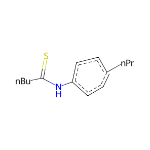 CCCCC(=S)Nc1ccc(CCC)cc1